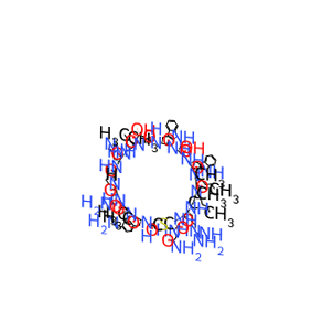 CCCC[C@H]1CN[C@@H](CCCNC(=N)N)C(=O)N[C@H](C(=O)NCC(N)=O)CSCC(=O)N[C@@H](Cc2ccc(CN)cc2)C(=O)N(C)[C@@H](C)C(=O)N[C@@H](CC(N)=O)C(=O)N2CCC[C@H]2C(=O)N[C@@H](Cc2cnc[nH]2)C(=O)N[C@@H](CC(C)C)C(=O)N2C[C@H](O)CC2C(=O)N[C@@H](Cc2c[nH]c3ccccc23)C(=O)N[C@@H](CO)C(=O)N[C@@H](Cc2c[nH]c3ccccc23)C(=O)N(C)[C@@H](CCCC)C(=O)N1C